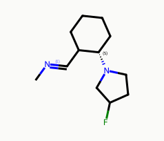 C/N=C/C1CCCC[C@@H]1N1CCC(F)C1